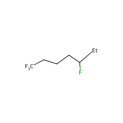 CCC(F)CCCC(F)(F)F